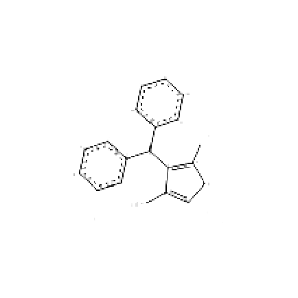 CCCC1=CC[C]([Ti+3])=C1C(c1ccccc1)c1ccccc1.[Cl-].[Cl-].[Cl-]